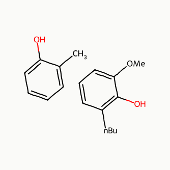 CCCCc1cccc(OC)c1O.Cc1ccccc1O